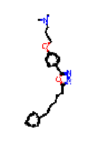 CN(C)CCCOc1ccc(-c2nnc(CCCCCc3ccccc3)o2)cc1